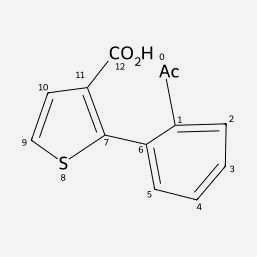 CC(=O)c1ccccc1-c1sccc1C(=O)O